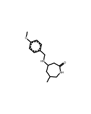 COc1ccc(CNC2CC(=O)NCC(C)C2)cc1